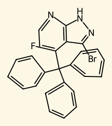 Fc1cnc2[nH]nc(Br)c2c1C(c1ccccc1)(c1ccccc1)c1ccccc1